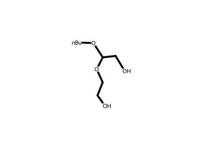 CCCCOC(CO)OCCO